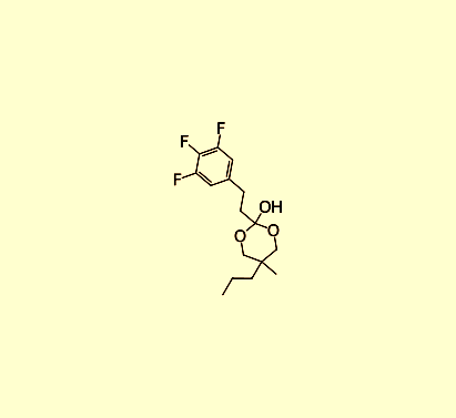 CCCC1(C)COC(O)(CCc2cc(F)c(F)c(F)c2)OC1